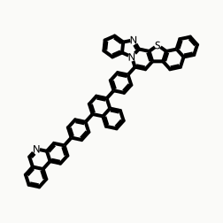 c1ccc2c(c1)cnc1cc(-c3ccc(-c4ccc(-c5ccc(-c6cc7c8ccc9ccccc9c8sc7c7nc8ccccc8n67)cc5)c5ccccc45)cc3)ccc12